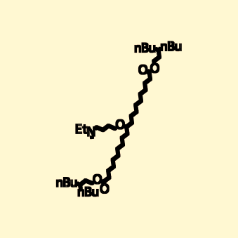 CCCCC(CCCC)CCOC(=O)CCCCCCCCCC(CCCCCCCCCC(=O)OCCC(CCCC)CCCC)OCCCCN(C)CC